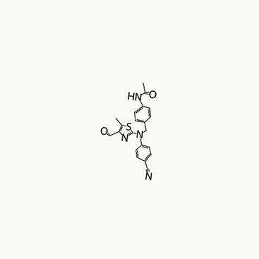 CC(=O)Nc1ccc(CN(c2ccc(C#N)cc2)c2nc(C=O)c(C)s2)cc1